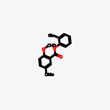 COc1ccc(O[C]=O)c(C(=O)Oc2ccccc2C(C)(C)C)c1